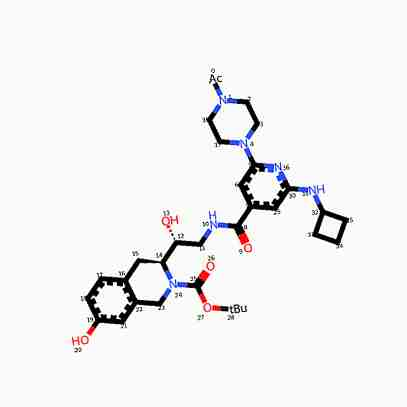 CC(=O)N1CCN(c2cc(C(=O)NC[C@@H](O)[C@@H]3Cc4ccc(O)cc4CN3C(=O)OC(C)(C)C)cc(NC3CCC3)n2)CC1